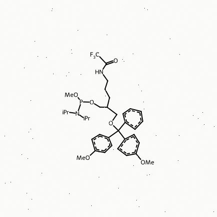 COc1ccc(C(OCC(CCCNC(=O)C(F)(F)F)COP(OC)N(C(C)C)C(C)C)(c2ccccc2)c2ccc(OC)cc2)cc1